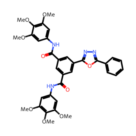 COc1cc(NC(=O)c2cc(C(=O)Nc3cc(OC)c(OC)c(OC)c3)cc(-c3nnc(-c4ccccc4)o3)c2)cc(OC)c1OC